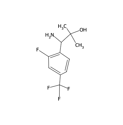 CC(C)(O)C(N)c1ccc(C(F)(F)F)cc1F